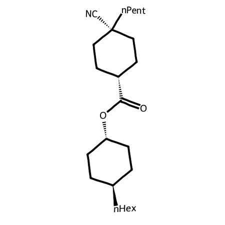 CCCCCC[C@H]1CC[C@H](OC(=O)[C@H]2CC[C@](C#N)(CCCCC)CC2)CC1